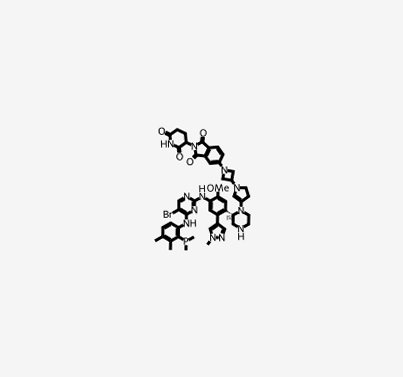 COc1cc([C@H]2CNCCN2C2=CN(C3CN(c4ccc5c(c4)C(=O)N(C4CCC(=O)NC4=O)C5=O)C3)CC2)c(-c2cnn(C)c2)cc1Nc1ncc(Br)c(Nc2ccc(C)c(C)c2P(C)C)n1